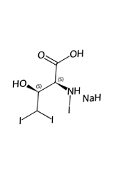 O=C(O)[C@@H](NI)[C@H](O)C(I)I.[NaH]